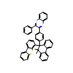 CC1(C)c2ccccc2-c2ccccc2C1(c1ccc(-c2nc3ccccc3nc2-c2ccccc2)cc1)c1cccc2c1sc1ccccc12